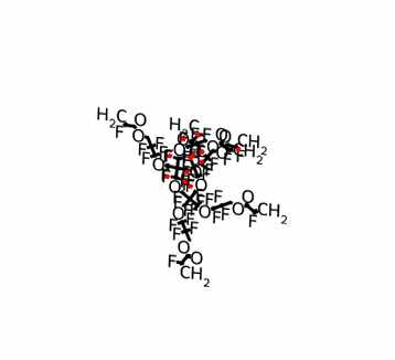 C=C(F)C(=O)OCC(F)(F)C(F)(F)OC(F)(F)C(C(F)(F)OC(F)(F)C(F)(F)COC(=O)C(=C)F)(C(F)(F)OC(F)(F)C(F)(F)COC(=O)C(=C)F)C(F)(F)OC(F)(F)C(C(F)(F)OC(F)(F)C(F)(F)COC(=O)C(=C)F)(C(F)(F)OC(F)(F)C(F)(F)COC(=O)C(=C)F)C(F)(F)OC(F)(F)C(F)(F)COC(=O)C(=C)F